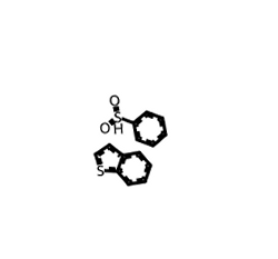 O=[SH](=O)c1ccccc1.c1ccc2sccc2c1